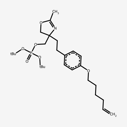 C=CCCCCOc1ccc(CCC2(COP(=O)(OC(C)(C)C)OC(C)(C)C)COC(C)=N2)cc1